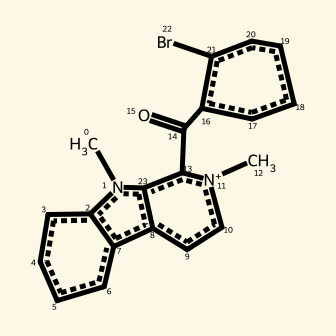 Cn1c2ccccc2c2cc[n+](C)c(C(=O)c3ccccc3Br)c21